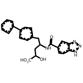 O=C(NC(Cc1ccc(-c2ccccc2)cc1)CC(O)C(=O)O)c1ccc2[nH]nnc2c1